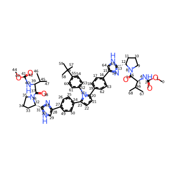 COC(=O)N[C@H](C(=O)N1CCC[C@H]1c1nc(-c2ccc(-c3ccc(-c4ccc(-c5c[nH]c([C@@H]6CCCN6C(=O)[C@@H](NC(=O)OC)C(C)C)n5)cc4)n3-c3ccc(C(C)(C)C)cc3)cc2)c[nH]1)C(C)C